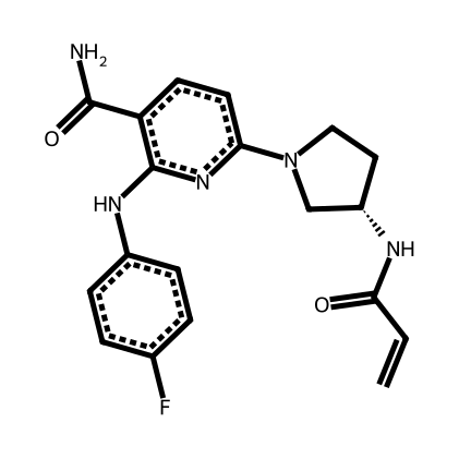 C=CC(=O)N[C@H]1CCN(c2ccc(C(N)=O)c(Nc3ccc(F)cc3)n2)C1